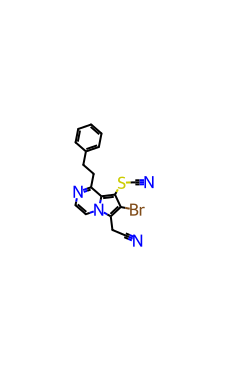 N#CCc1c(Br)c(SC#N)c2c(CCc3ccccc3)nccn12